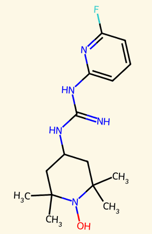 CC1(C)CC(NC(=N)Nc2cccc(F)n2)CC(C)(C)N1O